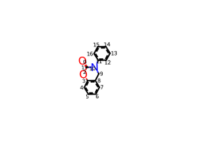 O=C1Oc2ccccc2CN1c1ccccc1